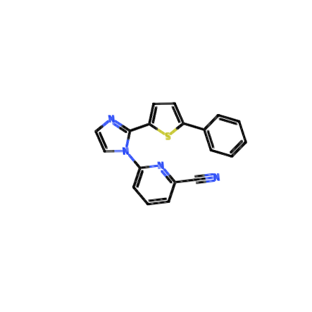 N#Cc1cccc(-n2ccnc2-c2ccc(-c3ccccc3)s2)n1